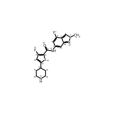 Cn1cc2c(F)cc(NC(=O)c3sc(C4CCNCC4)cc3F)cc2n1